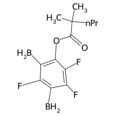 Bc1c(F)c(B)c(OC(=O)C(C)(C)CCC)c(F)c1F